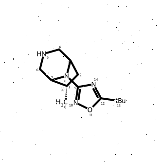 C[C@H]1CC2CNCC1N2c1noc(C(C)(C)C)n1